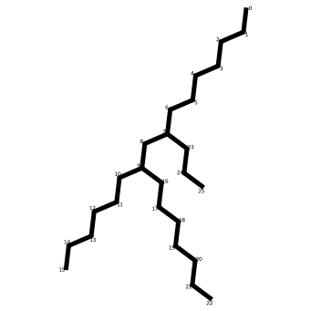 CCCCCCCC([CH]C(CCCCCC)CCCCCCC)CCC